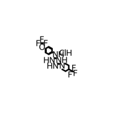 Cl.N=C(NC(=N)N1CCC(C(F)(F)F)CC1)Nc1ccc(OC(F)(F)F)cc1